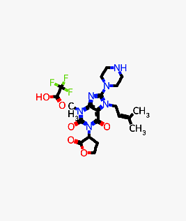 CC(C)=CCn1c(N2CCNCC2)nc2c1c(=O)n(C1CCOC1=O)c(=O)n2C.O=C(O)C(F)(F)F